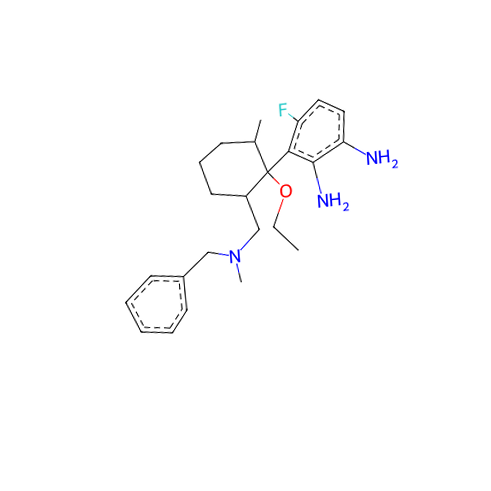 CCOC1(c2c(F)ccc(N)c2N)C(C)CCCC1CN(C)Cc1ccccc1